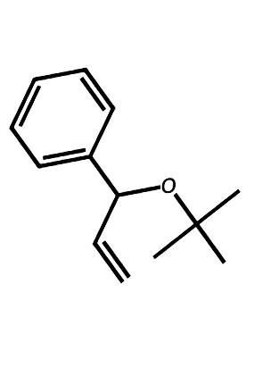 C=CC(OC(C)(C)C)c1ccccc1